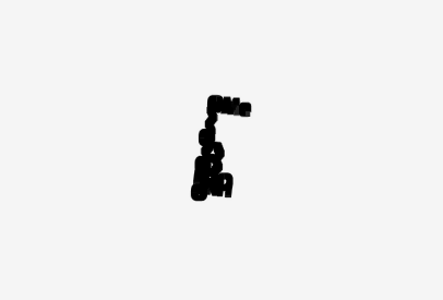 COCCCCOc1ccc2cc3c(=O)[nH]c(=O)nc-3oc2c1